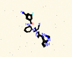 N#CCC1(n2cc(-c3ncnc4[nH]ccc34)cn2)CN(C2CCCCC(NC(=O)c3cc(F)cc(C#N)c3)C2)C1